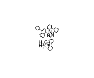 C[Si]1(C)c2ccccc2-c2ccc(-c3nc(-c4ccccc4-c4ccccc4)nc(-c4ccc(-c5ccccc5)c5ccccc45)n3)cc21